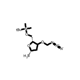 B[C@H]1CC(OCN=[N+]=[N-])[C@@H](CO[Si](C)(C)C(C)(C)C)O1